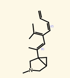 C=C/C=C\C(/C=C(\C)C12CC1CN(C)C2)=C(C)C